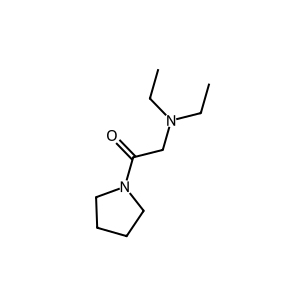 CCN(CC)CC(=O)N1CCCC1